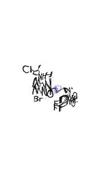 C#Cc1cc(Nc2ncnc3cnc(NC(=O)/C=C/C[N+](C)(C)Cc4c([N+](=O)[O-])nc(C(F)(F)F)n4C)cc23)ccc1Cl.[Br-]